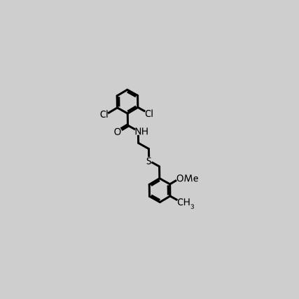 COc1c(C)cccc1CSCCNC(=O)c1c(Cl)cccc1Cl